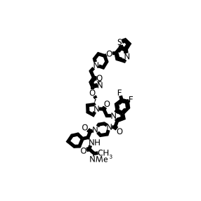 CN[C@@H](C)C(=O)N[C@H](C(=O)N1CCN(C(=O)c2cc3cc(F)c(F)cc3n2CC(=O)N2CCC[C@@H]2COc2cc(CN3CCC(Oc4ccnc5ccsc45)CC3)on2)CC1)C1CCCCC1